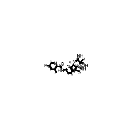 Cc1cc(F)cnc1C(=O)Nc1ccc(F)c([C@@]2(C)N=C(N)C(C)(C)S3(O)NCC[C@H]23)n1